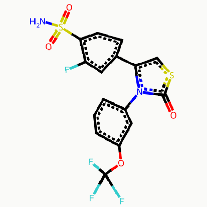 NS(=O)(=O)c1ccc(-c2csc(=O)n2-c2cccc(OC(F)(F)F)c2)cc1F